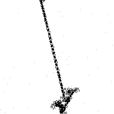 CC[C@@]1(O)C(=O)OCc2c1cc1n(c2=O)Cc2c-1nc1cc(F)c(C)c3c1c2[C@@H](NC(=O)OCc1ccc(NC(=O)[C@H](CCCNC(N)=O)NC(=O)[C@@H](N)C(C)C)cc1CN(C)C(=O)NCCOCCOCCOCCOCCOCCOCCOCCOCCOCCOCCOCCOCCOCCOCCOCCOCCOCCOCCOCCOCCOCCOCCOCCOCCC(=O)OC(=O)C(F)(F)F)CC3